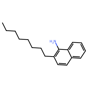 CCCCCCCCc1ccc2ccccc2c1N